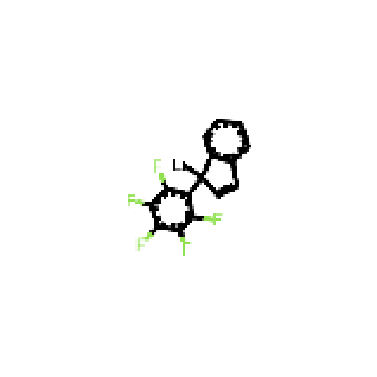 [Li][C]1(c2c(F)c(F)c(F)c(F)c2F)C=Cc2ccccc21